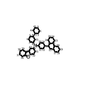 c1ccc(-c2cccc(N(c3ccc(-c4cc5ccccc5c5ccccc45)cc3)c3ccc4oc5ccccc5c4c3)c2)cc1